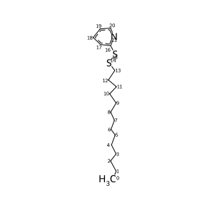 CCCCCCCCCCCCCCSSc1ccccn1